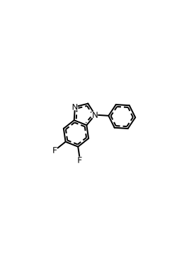 Fc1cc2ncn(-c3ccccc3)c2cc1F